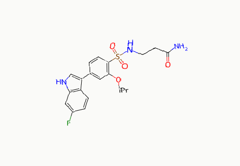 CC(C)Oc1cc(-c2c[nH]c3cc(F)ccc23)ccc1S(=O)(=O)NCCC(N)=O